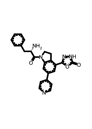 N[C@@H](Cc1ccccc1)C(=O)N1CCc2c(-c3n[nH]c(=O)o3)cc(-c3ccncc3)cc21